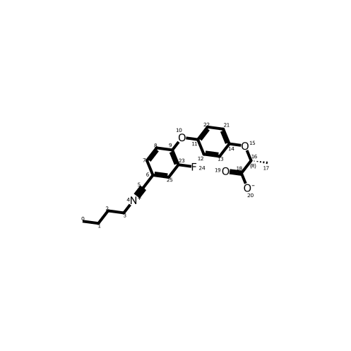 CCCC[N+]#Cc1ccc(Oc2ccc(O[C@H](C)C(=O)[O-])cc2)c(F)c1